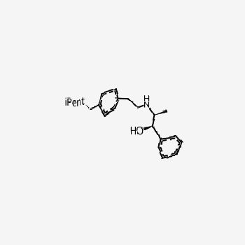 CCC[C@@H](C)Cc1ccc(CCN[C@@H](C)[C@H](O)c2ccccc2)cc1